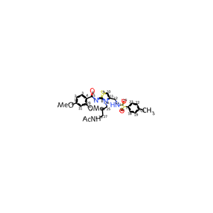 COc1ccc(C(=O)N=c2scc(CNS(=O)(=O)c3ccc(C)cc3)n2CCCNC(C)=O)c(OC)c1